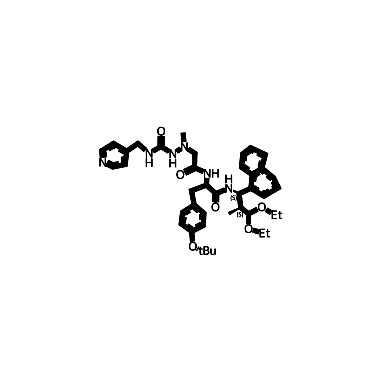 CCOC(OCC)[C@@H](C)[C@H](NC(=O)C(Cc1ccc(OC(C)(C)C)cc1)NC(=O)CN(C)NC(=O)NCc1ccncc1)c1cccc2ccccc12